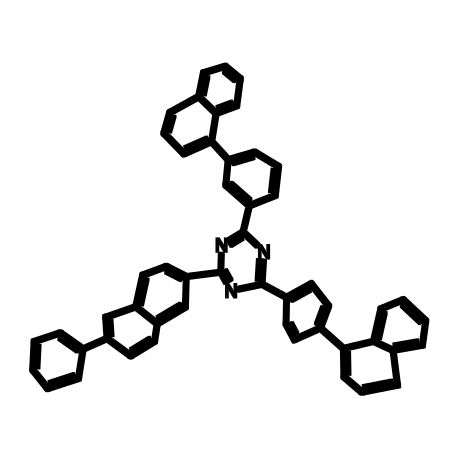 c1ccc(-c2ccc3cc(-c4nc(-c5ccc(-c6cccc7ccccc67)cc5)nc(-c5cccc(-c6cccc7ccccc67)c5)n4)ccc3c2)cc1